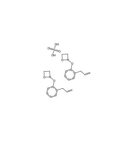 C=CCc1ccccc1ON1CCO1.C=CCc1ccccc1ON1CCO1.O=S(=O)(O)O